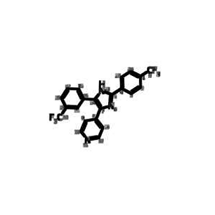 FC(F)(F)c1ccc(-c2nc(-c3ccncc3)c(-c3cccc(C(F)(F)F)c3)[nH]2)cc1